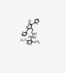 Cc1noc(C)c1S(=O)(=O)NCCc1c(-c2cccs2)n[nH]c1-c1cccs1